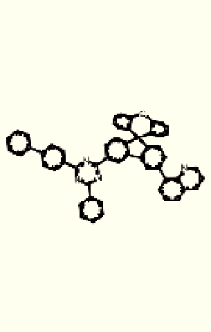 c1ccc(-c2ccc(-c3nc(-c4ccccc4)nc(-c4ccc5c(c4)-c4cc(-c6cccc7cccnc67)ccc4C54c5ccccc5Oc5ccccc54)n3)cc2)cc1